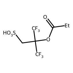 CCC(=O)OC(CS(=O)(=O)O)(C(F)(F)F)C(F)(F)F